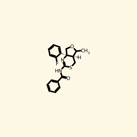 CC1OC[C@]2(c3ccccc3F)N=C(NC(=O)c3ccccc3)SC[C@H]12